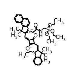 CCO[Si](CNC(=O)C[N+]1=C(/C=C2\C(=O)C(/C=C3\N(CC)c4ccccc4C3(C)C)=C2[O-])C(C)(C)c2c1ccc1ccccc21)(OCC)OCC